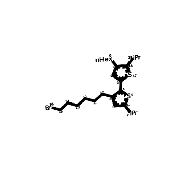 CCCCCCc1cc(-c2sc(C(C)C)cc2CCCCCCBr)sc1C(C)C